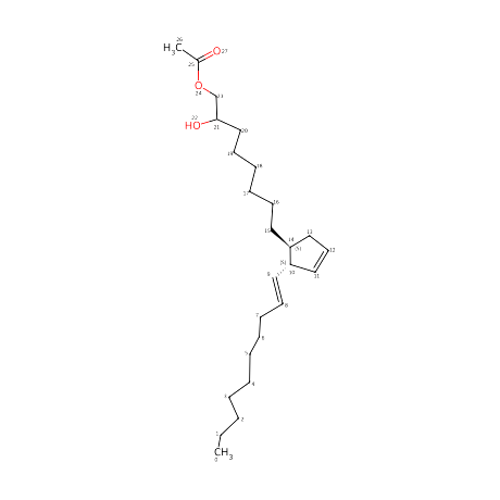 CCCCCCCCC=C[C@H]1C=CC[C@@H]1CCCCCCC(O)COC(C)=O